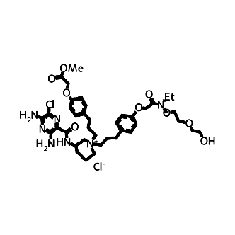 CCN(OCCOCCO)C(=O)COc1ccc(CCC[N+]2(CCCc3ccc(OCC(=O)OC)cc3)CCCC(NC(=O)c3nc(Cl)c(N)nc3N)C2)cc1.[Cl-]